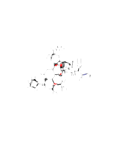 C/C=C(\C)C(=O)O[C@H]1[C@]2(C)C[C@@]34O[C@]5(C)OC6(C7=CC(=O)O[C@@H](c8ccoc8)[C@]7(C)CCC6(O5)[C@]3(C)[C@H]2CC(=O)OC)[C@H](OC(=O)CC)[C@]14OC(C)=O